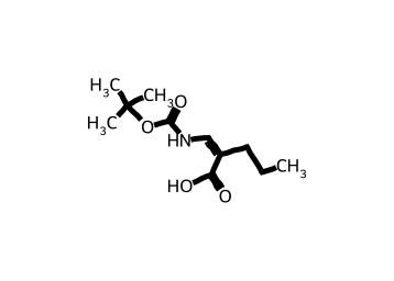 CCCC(=CNC(=O)OC(C)(C)C)C(=O)O